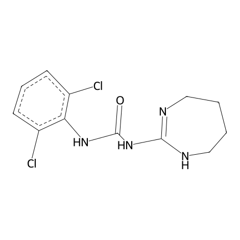 O=C(NC1=NCCCCN1)Nc1c(Cl)cccc1Cl